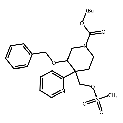 CC(C)(C)OC(=O)N1CCC(COS(C)(=O)=O)(c2ccccn2)C(OCc2ccccc2)C1